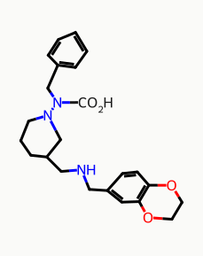 O=C(O)N(Cc1ccccc1)N1CCCC(CNCc2ccc3c(c2)OCCO3)C1